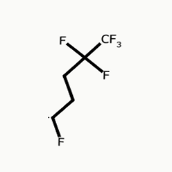 F[CH]CCC(F)(F)C(F)(F)F